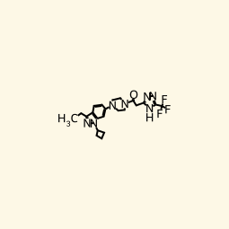 CCc1nn(C2CCC2)c2cc(N3CCN(C(=O)Cc4nnc(C(F)(F)F)[nH]4)CC3)ccc12